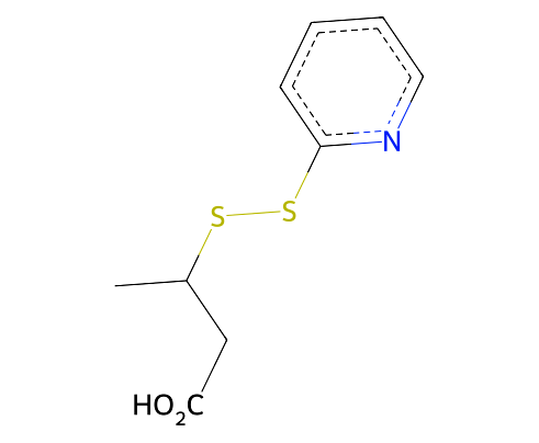 CC(CC(=O)O)SSc1ccccn1